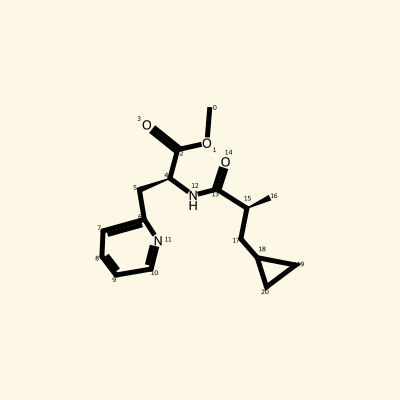 COC(=O)[C@H](Cc1ccccn1)NC(=O)[C@@H](C)CC1CC1